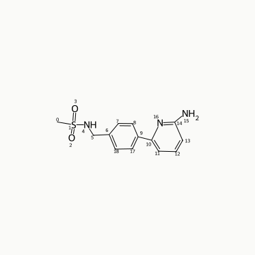 CS(=O)(=O)NCc1ccc(-c2cccc(N)n2)cc1